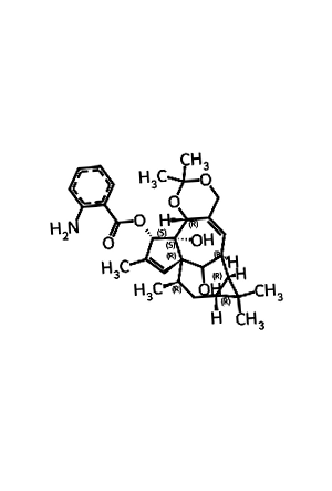 CC1=C[C@]23C(O)[C@@H](C=C4COC(C)(C)O[C@H]4[C@]2(O)[C@H]1OC(=O)c1ccccc1N)[C@H]1[C@@H](C[C@H]3C)C1(C)C